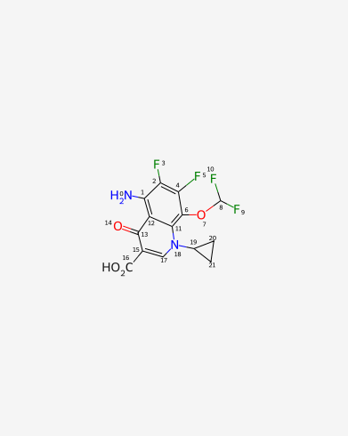 Nc1c(F)c(F)c(OC(F)F)c2c1c(=O)c(C(=O)O)cn2C1CC1